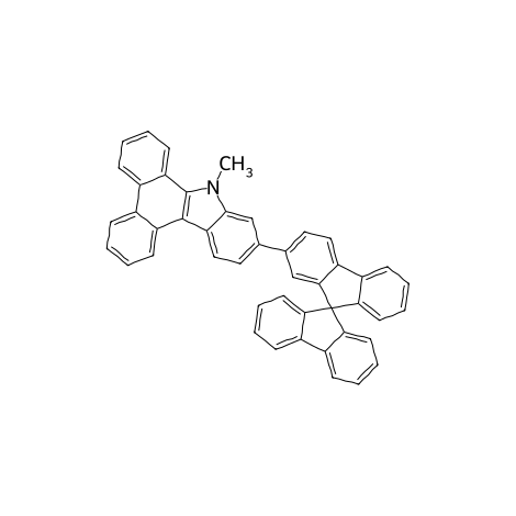 Cn1c2cc(-c3ccc4c(c3)C3(c5ccccc5-c5ccccc53)c3ccccc3-4)ccc2c2c3ccccc3c3ccccc3c21